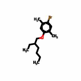 CCCCC(CC)COc1cc(C)c(Br)cc1C